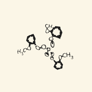 COc1ccccc1OOP(=O)(OOc1ccccc1OC)OOc1ccccc1OC